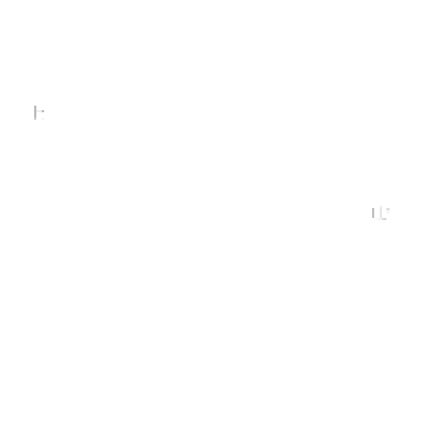 CC(C)(C)c1cc2ccc3c(Br)cc(Br)c4ccc(c1)c2c34